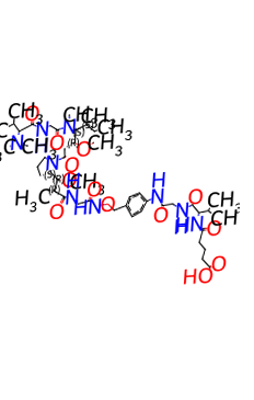 CC[C@H](C)[C@@H]([C@@H](CC(=O)N1CCC[C@H]1[C@H](OC)[C@@H](C)C(=O)NCC(=O)NOCc1ccc(NC(=O)CNC(=O)C(NC(=O)CCCC(=O)O)C(C)C)cc1)OC)N(C)C(=O)CNC(=O)C(C(C)C)N(C)C